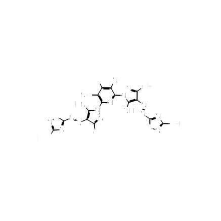 [C-]#[N+]c1c(-n2nc(C)c(N=Nc3nc(C)ns3)c2N)nc(-n2nc(C)c(N=Nc3nc(C)ns3)c2N)c(C#N)c1C